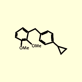 COc1cccc(Cc2ccc(C3CC3)cc2)c1OC